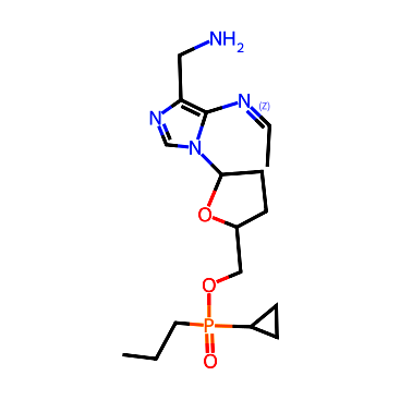 C/C=N\c1c(CN)ncn1C1CCC(COP(=O)(CCC)C2CC2)O1